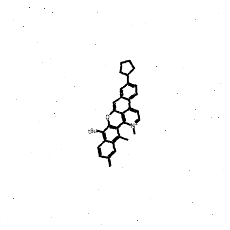 Cc1ccc2c(C(C)(C)C)c3c(c(C)c2c1)-c1c2c(cc4cc(C5CCCC5)ccc4c2cc[n+]1C)O3